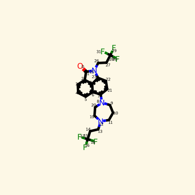 O=C1c2cccc3c(N4CCCN(CCC(F)(F)F)CC4)ccc(c23)N1CCC(F)(F)F